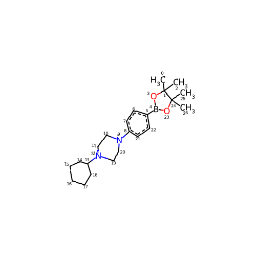 CC1(C)OB(c2ccc(N3CCN(C4CCCCC4)CC3)cc2)OC1(C)C